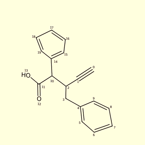 C#CC(Cc1ccccc1)C(C(=O)O)c1ccccc1